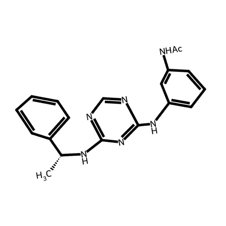 CC(=O)Nc1cccc(Nc2ncnc(N[C@H](C)c3ccccc3)n2)c1